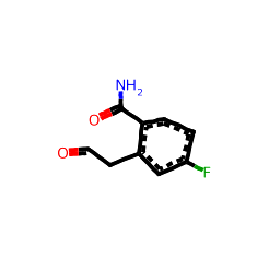 NC(=O)c1ccc(F)cc1CC=O